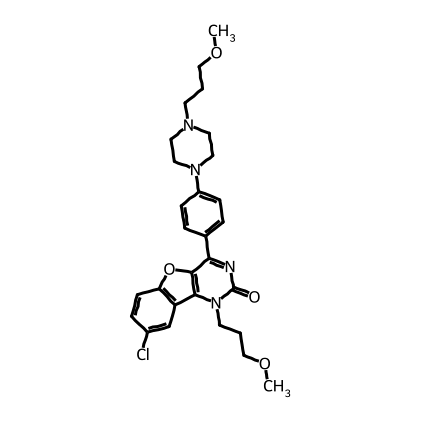 COCCCN1CCN(c2ccc(-c3nc(=O)n(CCCOC)c4c3oc3ccc(Cl)cc34)cc2)CC1